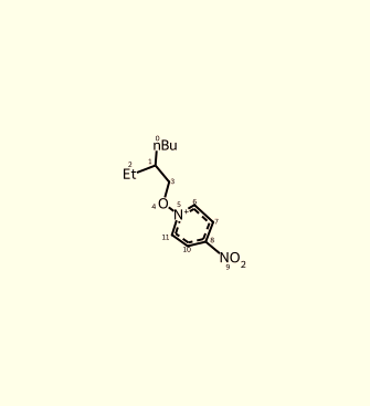 CCCCC(CC)CO[n+]1ccc([N+](=O)[O-])cc1